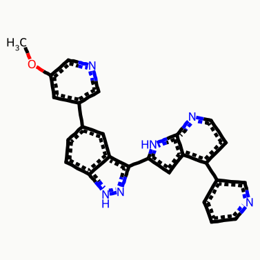 COc1cncc(-c2ccc3[nH]nc(-c4cc5c(-c6cccnc6)ccnc5[nH]4)c3c2)c1